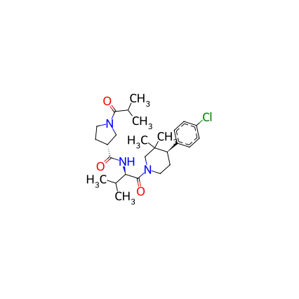 CC(C)C(=O)N1CC[C@@H](C(=O)N[C@@H](C(=O)N2CC[C@H](c3ccc(Cl)cc3)C(C)(C)C2)C(C)C)C1